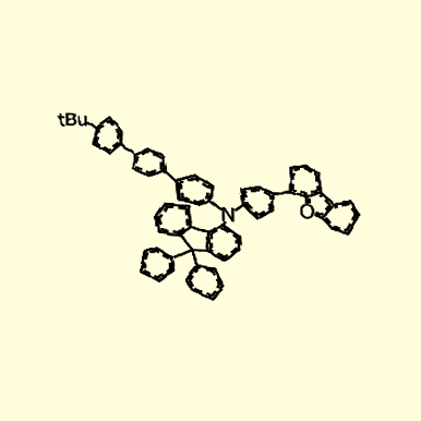 CC(C)(C)c1ccc(-c2ccc(-c3ccc(N(c4ccc(-c5cccc6c5oc5ccccc56)cc4)c4cccc5c4-c4ccccc4C5(c4ccccc4)c4ccccc4)cc3)cc2)cc1